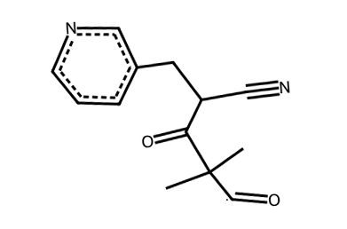 CC(C)([C]=O)C(=O)C(C#N)Cc1cccnc1